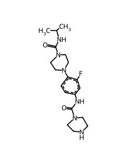 CC(C)NC(=O)N1CCN(c2ccc(NC(=O)N3CCNCC3)cc2F)CC1